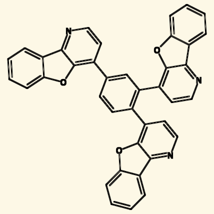 c1ccc2c(c1)oc1c(-c3ccc(-c4ccnc5c4oc4ccccc45)c(-c4ccnc5c4oc4ccccc45)c3)ccnc12